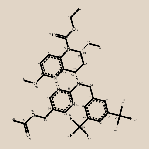 CCOC(=O)N1c2ccc(OC)nc2[C@@H](N(Cc2cc(C(F)(F)F)cc(C(F)(F)F)c2)c2ncc(COC(C)=O)cn2)C[C@H]1CC